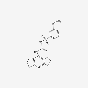 COc1cccc(S(=O)(=O)NC(=O)Nc2c3c(cc4c2CCC4)CCC3)c1